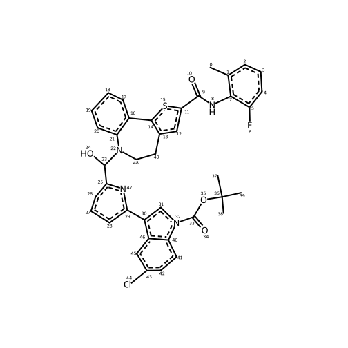 Cc1cccc(F)c1NC(=O)c1cc2c(s1)-c1ccccc1N(C(O)c1cccc(-c3cn(C(=O)OC(C)(C)C)c4ccc(Cl)cc34)n1)CC2